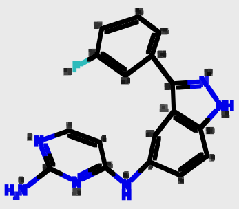 Nc1nccc(Nc2ccc3[nH]nc(-c4cccc(F)c4)c3c2)n1